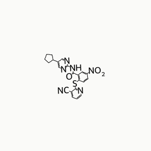 N#Cc1cccnc1Sc1ccc([N+](=O)[O-])cc1C(=O)Nc1ncc(C2CCCC2)cn1